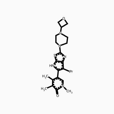 Cc1c(-c2[nH]c3sc(N4CCN(C5COC5)CC4)nc3c2C(C)C)cn(C)c(=O)c1C